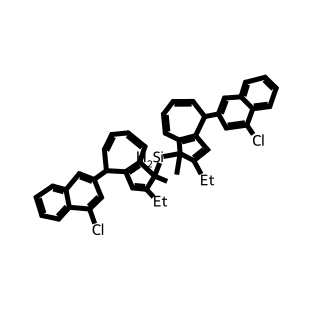 CCC1=CC2=C(C=CC=CC2c2cc(Cl)c3ccccc3c2)C1(C)[SiH2]C1(C)C(CC)=CC2=C1C=CC=CC2c1cc(Cl)c2ccccc2c1